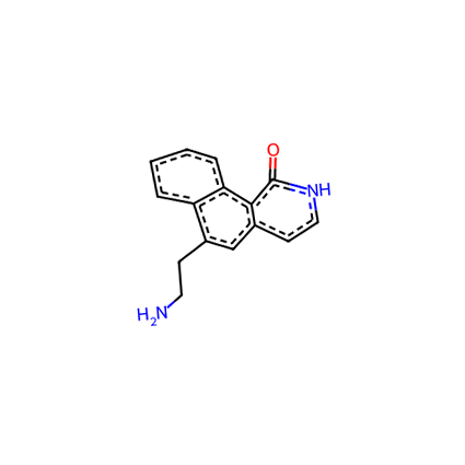 NCCc1cc2cc[nH]c(=O)c2c2ccccc12